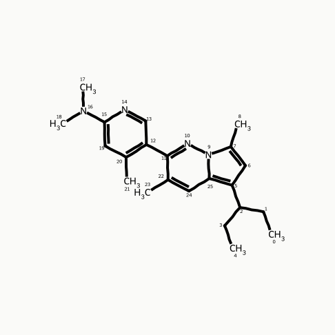 CCC(CC)c1cc(C)n2nc(-c3cnc(N(C)C)cc3C)c(C)cc12